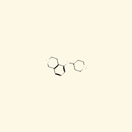 c1cc2c(c(NC3CCNCC3)c1)CCNC2